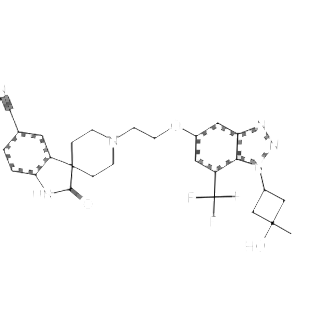 CC1(O)CC(n2nnc3cc(OCCN4CCC5(CC4)C(=O)Nc4ccc(C#N)cc45)cc(C(F)(F)F)c32)C1